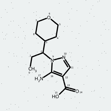 CCC(C1CCOCC1)n1ncc(C(=O)O)c1N